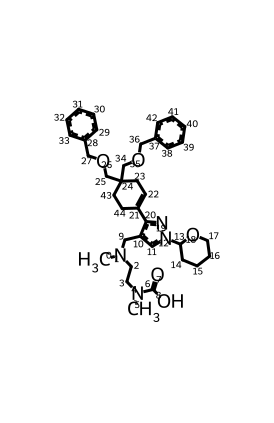 CN(CCN(C)C(=O)O)Cc1cn(C2CCCCO2)nc1C1=CCC(COCc2ccccc2)(COCc2ccccc2)CC1